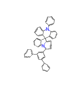 c1ccc(-c2cc(-c3ccccc3)cc(-c3cccc(C4(c5ccccc5)c5ccccc5N(c5ccccc5)c5ccccc54)n3)c2)cc1